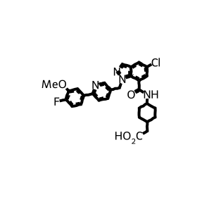 COc1cc(-c2ccc(Cn3ncc4cc(Cl)cc(C(=O)NC5CCC(CC(=O)O)CC5)c43)cn2)ccc1F